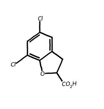 O=C(O)C1Cc2cc(Cl)cc(Cl)c2O1